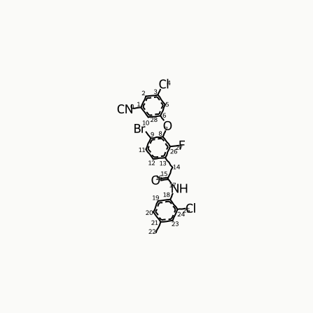 [C-]#[N+]c1cc(Cl)cc(Oc2c(Br)ccc(CC(=O)Nc3ccc(C)cc3Cl)c2F)c1